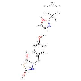 CC1(c2nc(COc3ccc(CC4NC(=O)SC4=O)cc3)co2)CCCCC1